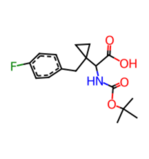 CC(C)(C)OC(=O)NC(C(=O)O)C1(Cc2ccc(F)cc2)CC1